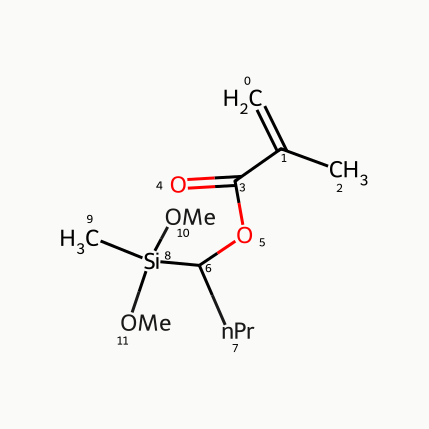 C=C(C)C(=O)OC(CCC)[Si](C)(OC)OC